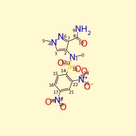 CN(c1cn(C)nc1C(N)=O)S(=O)(=O)c1ccc([N+](=O)[O-])cc1[N+](=O)[O-]